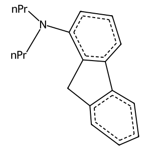 CCCN(CCC)c1cccc2c1Cc1ccccc1-2